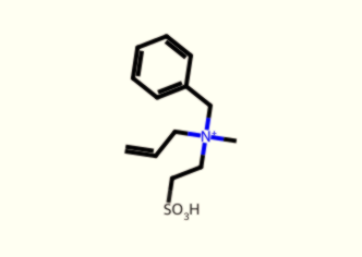 C=CC[N+](C)(CCS(=O)(=O)O)Cc1ccccc1